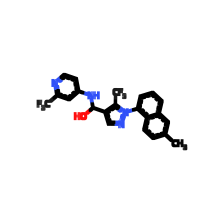 Cc1ccc2c(-n3ncc(C(O)Nc4ccnc(C(F)(F)F)c4)c3C(F)(F)F)cccc2c1